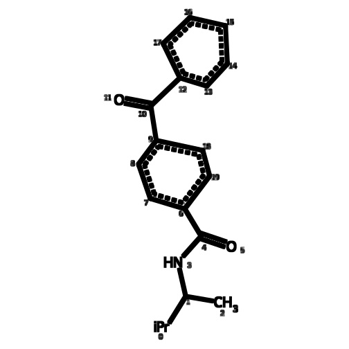 CC(C)C(C)NC(=O)c1ccc(C(=O)c2ccccc2)cc1